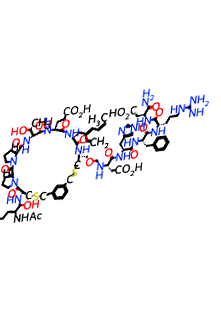 C=C/C(=C\C=C/C)C[C@@H]1NC(=O)[C@H](CCC(=O)O)NC(O)[C@H]([C@@H](C)O)NC(=O)[C@@H]2CCCN2C(=O)[C@@H]2CCCN2C(=O)[C@@H](NC(O)[C@H](CCSC)NC(C)=O)CSCc2cccc(c2)CSC[C@@H](COCN[C@@H](CC(=O)O)C(=O)N[C@@H](Cc2c[nH]cn2)C(=O)N[C@@H](Cc2ccccc2)C(=O)N[C@@H](CCCNC(=N)N)C(=O)N[C@@H](CC(=O)O)C(N)=O)NC1=O